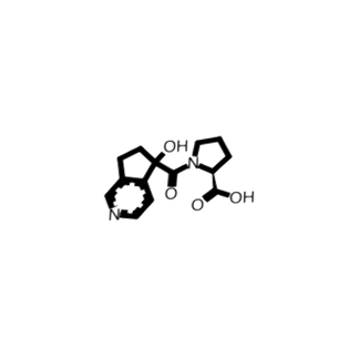 O=C(O)[C@@H]1CCCN1C(=O)C1(O)CCc2cnccc21